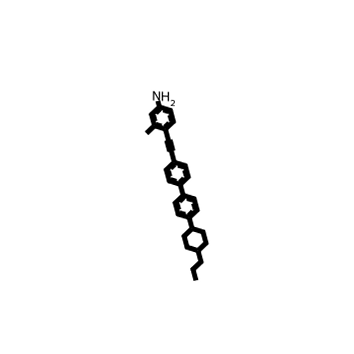 CCCC1CCC(c2ccc(-c3ccc(C#Cc4ccc(N)cc4C)cc3)cc2)CC1